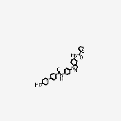 O=C(Nc1ccc(-n2ncc3cc(NC(=O)c4cccs4)ccc32)cc1)c1ccc(N2CCC(O)CC2)cc1